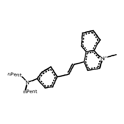 CCCCCN(CCCCC)c1ccc(C=Cc2cc[n+](C)c3ccccc23)cc1